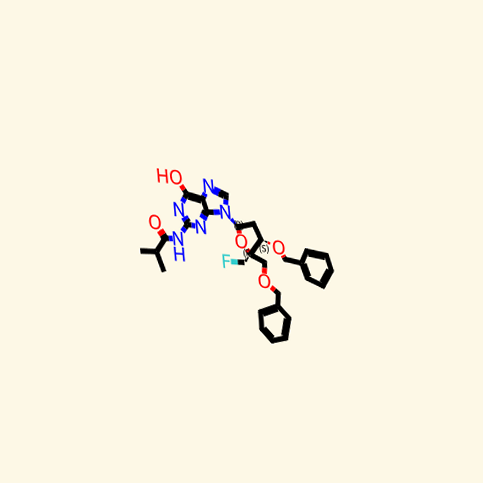 CC(C)C(=O)Nc1nc(O)c2ncn([C@H]3C[C@H](OCc4ccccc4)[C@@](CF)(COCc4ccccc4)O3)c2n1